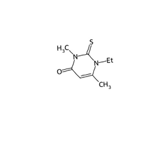 CCn1c(C)cc(=O)n(C)c1=S